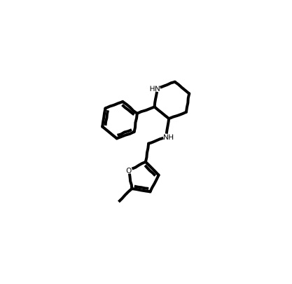 Cc1ccc(CNC2CCCNC2c2ccccc2)o1